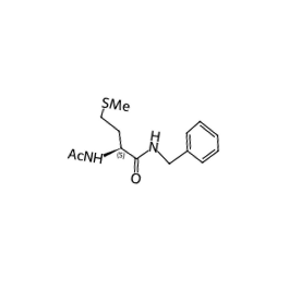 CSCC[C@H](NC(C)=O)C(=O)NCc1ccccc1